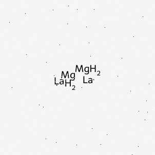 [La].[La].[MgH2].[MgH2]